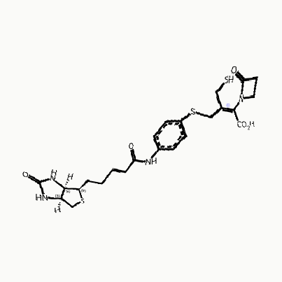 O=C(CCCC[C@H]1SC[C@H]2NC(=O)N[C@H]21)Nc1ccc(SC/C(CS)=C(\C(=O)O)N2CCC2=O)cc1